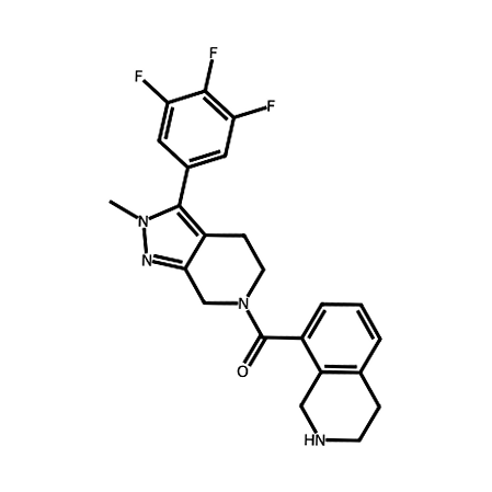 Cn1nc2c(c1-c1cc(F)c(F)c(F)c1)CCN(C(=O)c1cccc3c1CNCC3)C2